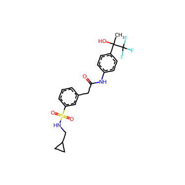 CC(O)(c1ccc(NC(=O)Cc2cccc(S(=O)(=O)NCC3CC3)c2)cc1)C(F)(F)F